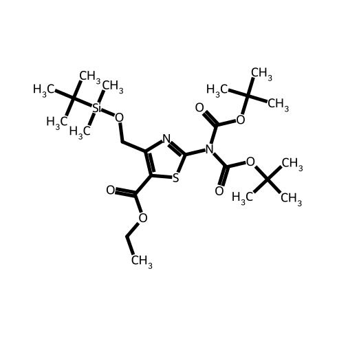 CCOC(=O)c1sc(N(C(=O)OC(C)(C)C)C(=O)OC(C)(C)C)nc1CO[Si](C)(C)C(C)(C)C